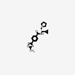 Cc1nc(-c2ccc(C(=O)N[C@H](CN3CCCC3)C3CC3)cc2)no1